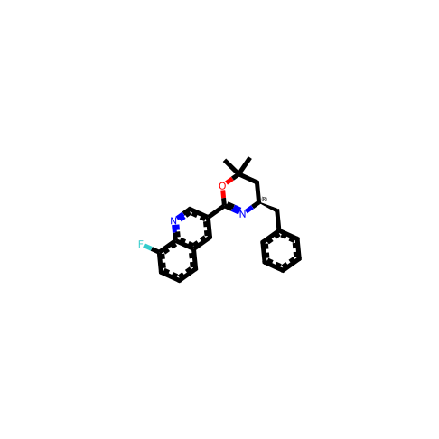 CC1(C)C[C@@H](Cc2ccccc2)N=C(c2cnc3c(F)cccc3c2)O1